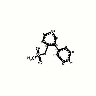 [CH2]S(=O)(=O)Cc1ccncc1-c1ccncc1